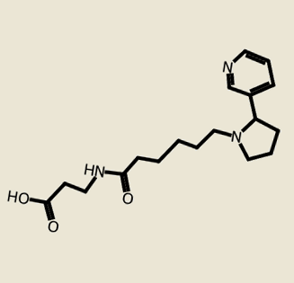 O=C(O)CCNC(=O)CCCCCN1CCCC1c1cccnc1